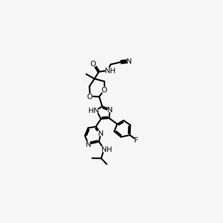 CC(C)Nc1nccc(-c2[nH]c(C3OCC(C)(C(=O)NCC#N)CO3)nc2-c2ccc(F)cc2)n1